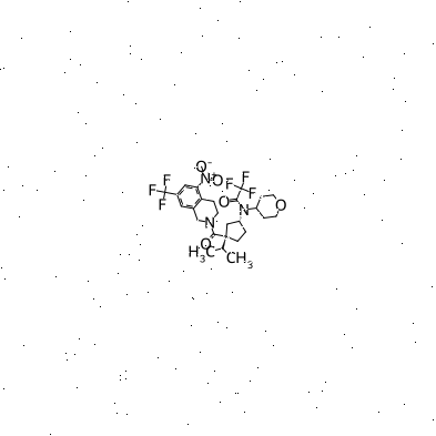 CC(C)[C@]1(C(=O)N2CCc3c(cc(C(F)(F)F)cc3[N+](=O)[O-])C2)CC[C@@H](N(C(=O)C(F)(F)F)C2CCOCC2)C1